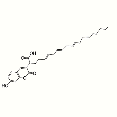 CCCCCC=CCC=CCC=CCC=CCCC(C(=O)O)c1cc2ccc(O)cc2oc1=O